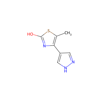 Cc1sc(O)nc1-c1cn[nH]c1